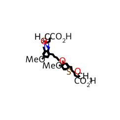 COc1cc(CCCCOc2cc3cc(C(=O)CC(C)C(=O)O)sc3cc2OC)c2c(c1)CN(C(=O)CC(C)C(=O)O)C2